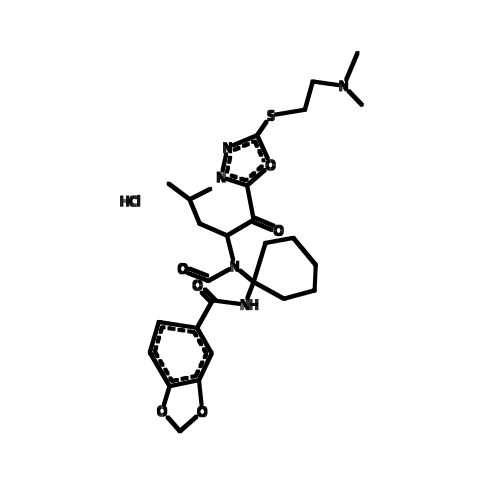 CC(C)CC(C(=O)c1nnc(SCCN(C)C)o1)N(C=O)C1(NC(=O)c2ccc3c(c2)OCO3)CCCCC1.Cl